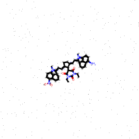 CCN1C(=O)C(C2/C(=C/C=c3\c4cccc5c(N)ccc(c54)n3C)CC/C2=C\C=c2/c3cccc4c([N+](=O)[O-])ccc(c43)n2C)C(=O)N(CC)C1=O